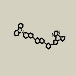 c1cc(-c2ccc3cc(-c4ccc5cc(-n6c7ccccc7c7ccccc76)ccc5c4)ccc3c2)cc(-c2ccc3c4ccccc4c4nccnc4c3c2)c1